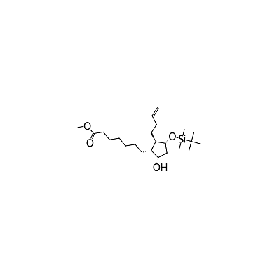 C=CCC[C@@H]1[C@@H](CCCCCCC(=O)OC)[C@@H](O)C[C@H]1O[Si](C)(C)C(C)(C)C